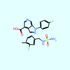 Cc1ccc(CNS(N)(=O)=O)cc1F.O=C(O)c1cncc2c1cnn2-c1ccc(F)cc1